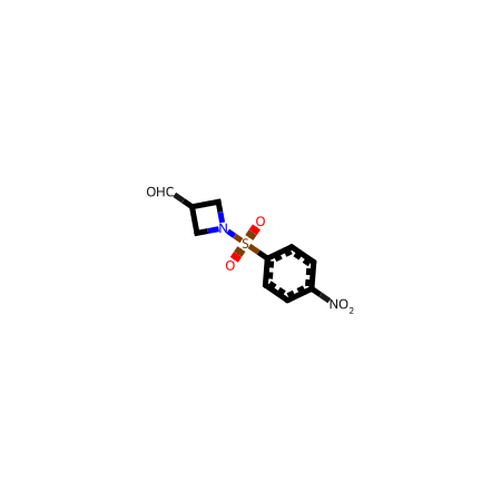 O=CC1CN(S(=O)(=O)c2ccc([N+](=O)[O-])cc2)C1